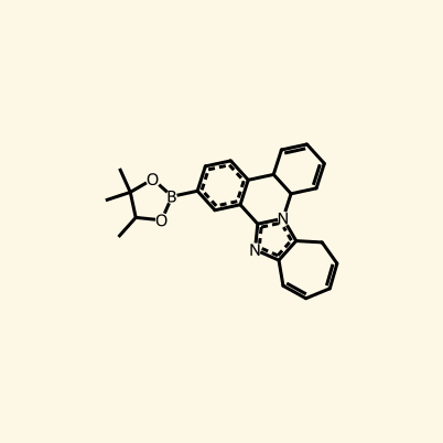 CC1OB(c2ccc3c(c2)-c2nc4c(n2C2C=CC=CC32)CC=CC=C4)OC1(C)C